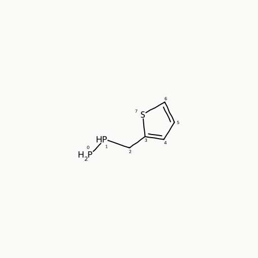 PPCc1cccs1